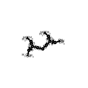 CC(C)(O)C#Cc1ccc2c(c1)C(=O)N(c1cc(-c3nc4cc5oc(-c6cccc(-c7nc8cc9oc(-c%10cc(N%11C(=O)c%12ccc(C#CC(C)(C)O)cc%12C%11=O)cc(N%11C(=O)c%12ccc(C#CC(C)(C)O)cc%12C%11=O)c%10)nc9cc8o7)c6)nc5cc4o3)cc(N3C(=O)c4ccc(C#CC(C)(C)O)cc4C3=O)c1)C2=O